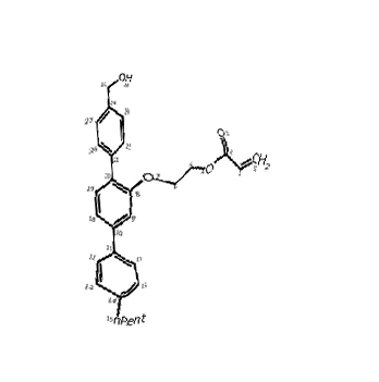 C=CC(=O)OCCOc1cc(-c2ccc(CCCCC)cc2)ccc1-c1ccc(CO)cc1